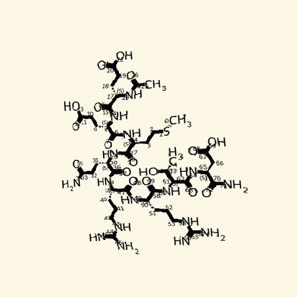 CSCC[C@H](NC(=O)[C@H](CCC(=O)O)NC(=O)[C@H](CCC(=O)O)NC(C)=O)C(=O)N[C@@H](CCC(N)=O)C(=O)N[C@@H](CCCNC(=N)N)C(=O)N[C@@H](CCCNC(=N)N)C(=O)N[C@H](C(=O)N[C@@H](CC(=O)O)C(N)=O)[C@@H](C)O